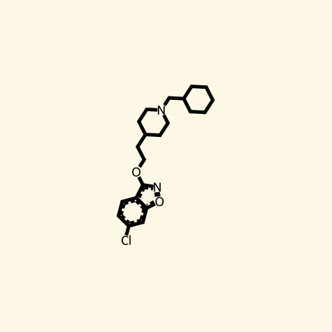 Clc1ccc2c(OCCC3CCN(CC4CCCCC4)CC3)noc2c1